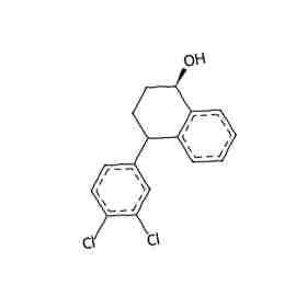 O[C@@H]1CCC(c2ccc(Cl)c(Cl)c2)c2ccccc21